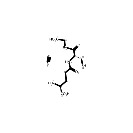 C#N.N[C@@H](CCC(=O)N[C@@H](CS)C(=O)NCC(=O)O)C(=O)O